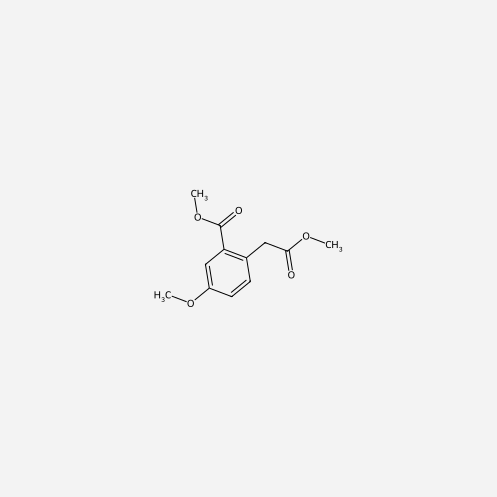 COC(=O)Cc1ccc(OC)cc1C(=O)OC